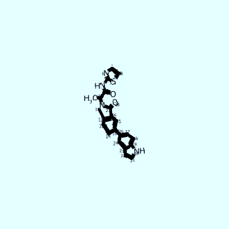 CC(C(=O)Nc1nccs1)N1Cc2ccc(-c3ccc4[nH]ccc4c3)cc2C1=O